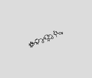 Cc1c(C#N)csc1[C@H]1CN2CCN(C(=O)Cc3ccc(-n4cnnn4)nc3)C[C@H]2CO1